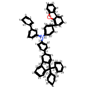 c1ccc(-c2cccc(N(c3ccc(-c4ccc5c(c4)-c4ccccc4C5(c4ccccc4)c4ccccc4)cc3)c3ccc(-c4cccc5c4oc4ccccc45)cc3)c2)cc1